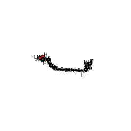 Cc1cnc(Nc2ccc(N3CCN(CCCOCCOCCOCCOCCOCCNc4ccc5c(c4)C(=O)N(C4CCC(=O)NC4=O)C5=O)CC3)cc2)nc1Nc1cccc(S(N)(=O)=O)c1C(C)(C)C